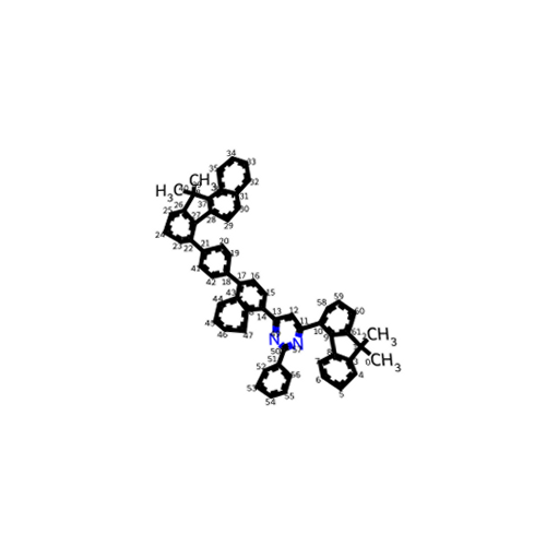 CC1(C)c2ccccc2-c2c(-c3cc(-c4ccc(-c5ccc(-c6cccc7c6-c6ccc8ccccc8c6C7(C)C)cc5)c5ccccc45)nc(-c4ccccc4)n3)cccc21